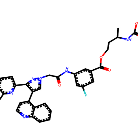 Cc1cccc(-c2nn(CC(=O)Nc3cc(F)cc(C(=O)OCCC(C)NC(=O)OC(C)(C)C)c3)cc2-c2ccnc3ccccc23)n1